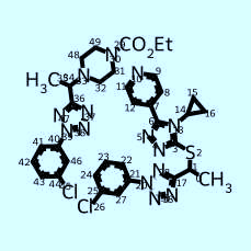 CC(Sc1nnc(-c2ccncc2)n1C1CC1)c1nnn(-c2cccc(Cl)c2)n1.CCOC(=O)N1CCN(C(C)c2nnn(-c3cccc(Cl)c3)n2)CC1